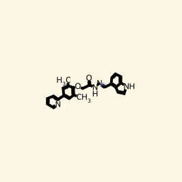 Cc1cc(-c2ccccn2)cc(C)c1OCC(=O)N/N=C/c1cccc2[nH]ccc12